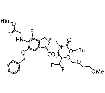 COCCOCOC(CN(C[C@H]1Cc2c(cc(OCc3ccccc3)c(NCC(=O)OC(C)(C)C)c2F)N1C(=O)O)C(=O)OC(C)(C)C)C(F)F